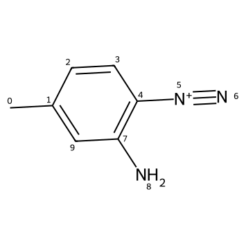 Cc1ccc([N+]#N)c(N)c1